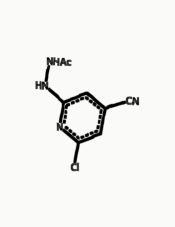 CC(=O)NNc1cc(C#N)cc(Cl)n1